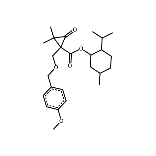 COc1ccc(COCC2(C(=O)OC3CC(C)CCC3C(C)C)C(=O)C2(C)C)cc1